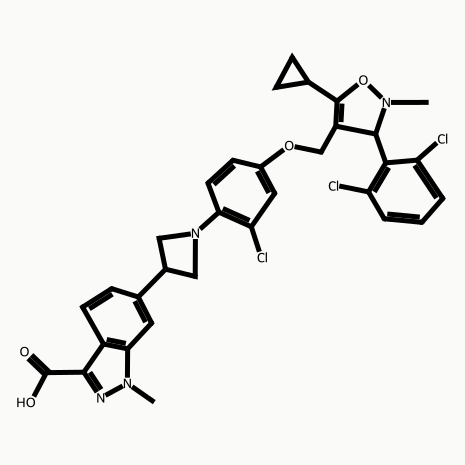 CN1OC(C2CC2)=C(COc2ccc(N3CC(c4ccc5c(C(=O)O)nn(C)c5c4)C3)c(Cl)c2)C1c1c(Cl)cccc1Cl